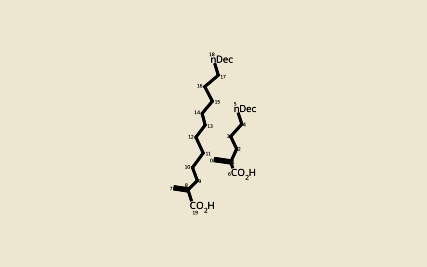 C=C(CCCCCCCCCCCCC)C(=O)O.C=C(CCCCCCCCCCCCCCCCCCC)C(=O)O